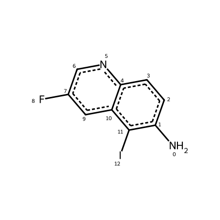 Nc1ccc2ncc(F)cc2c1I